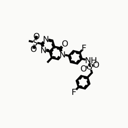 Cc1cn(-c2ccc(NS(=O)(=O)Cc3ccc(F)cc3)c(F)c2)c(=O)c2cnc(S(C)(=O)=O)nc12